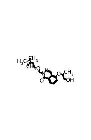 CC(CO)Oc1cccc2c(=O)n(COCC[Si](C)(C)C)ncc12